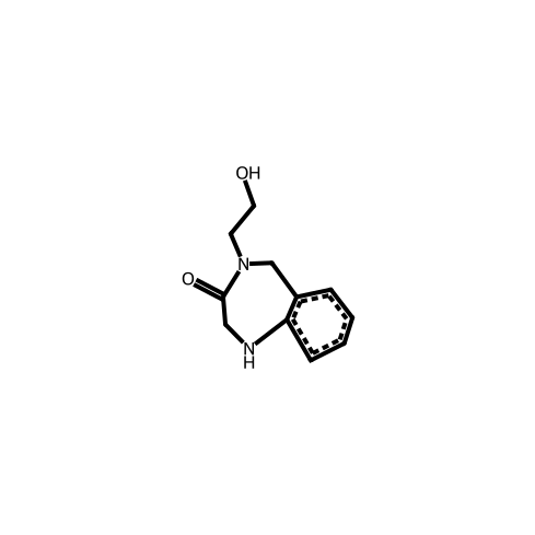 O=C1CNc2ccccc2CN1CCO